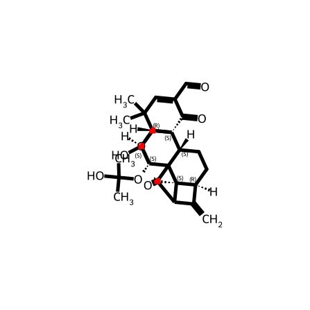 C=C1C2C(=O)C34[C@H]2[C@H]1CC[C@H]3[C@@]12CO[C@@]4(OC(C)(C)O)[C@@H](O)[C@@H]1C(C)(C)C=C(C=O)C2=O